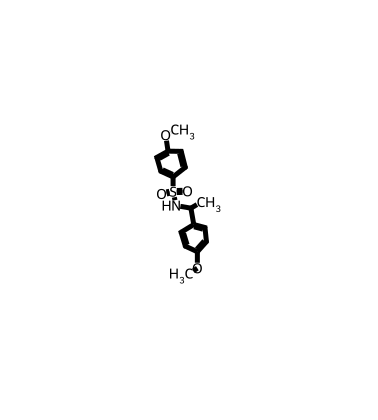 COc1ccc(C(C)NS(=O)(=O)c2ccc(OC)cc2)cc1